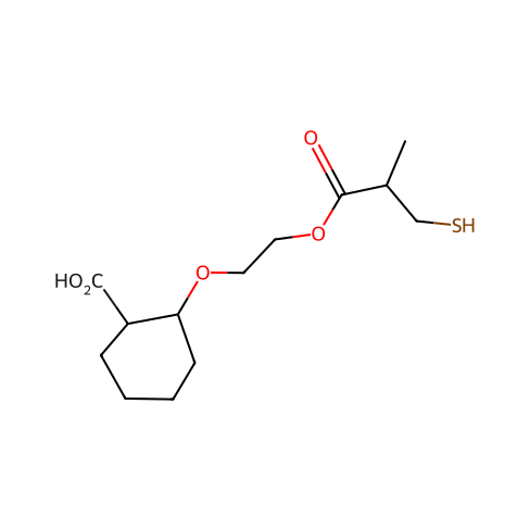 CC(CS)C(=O)OCCOC1CCCCC1C(=O)O